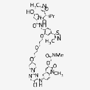 CNC(=O)COc1cc2cc(Nc3nc(N4CCC(OCCCOCCCOc5cc(-c6scnc6C)ccc5CNC(=O)[C@@H]5C[C@@H](O)CN5C(=O)C(c5cc(C)no5)C(C)C)CC4)ncc3Cl)ccc2n(C)c1=O